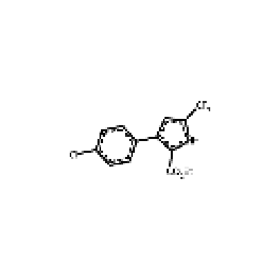 CCOC(=O)c1[nH]c(C(F)(F)F)cc1-c1ccc(Cl)cc1